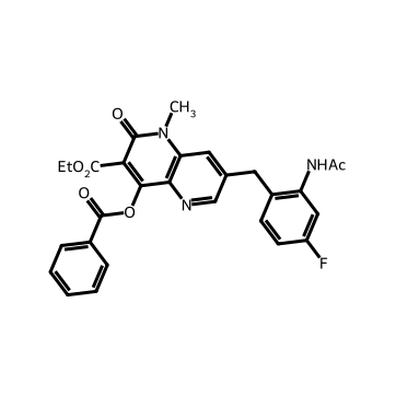 CCOC(=O)c1c(OC(=O)c2ccccc2)c2ncc(Cc3ccc(F)cc3NC(C)=O)cc2n(C)c1=O